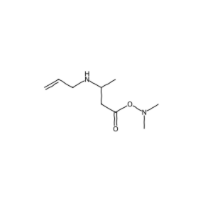 C=CCNC(C)CC(=O)ON(C)C